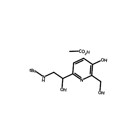 CC(=O)O.CC(C)(C)NCC(O)c1ccc(O)c(CO)n1